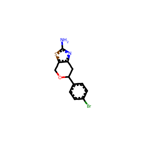 Nc1nc2c(s1)COC(c1ccc(Br)cc1)C2